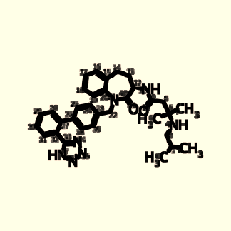 CC(C)CNC(C)(C)CC(=O)N[C@@H]1CCc2ccccc2N(Cc2ccc(-c3ccccc3-c3nnn[nH]3)cc2)C1=O